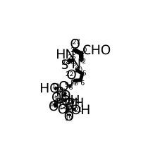 O=Cc1cn([C@H]2CC[C@@H](COP(=O)(O)OP(=O)(O)OP(=O)(O)O)O2)c(=S)[nH]c1=O